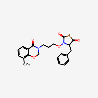 COc1cccc2c1OCN(CCCON1C(=O)SC(=O)C1Cc1ccccc1)C2=O